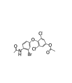 CC(=O)Nc1ccc(Oc2c(Cl)cc(OC(C)=O)cc2Cl)cc1Br